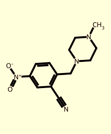 CN1CCN(Cc2ccc([N+](=O)[O-])cc2C#N)CC1